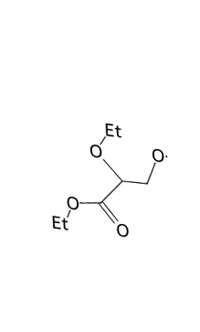 CCOC(=O)C(C[O])OCC